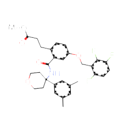 COC(=O)CCc1ccc(OCc2c(F)ccc(F)c2F)cc1C(=O)NC1(c2cc(C)cc(C)c2)CCOCC1